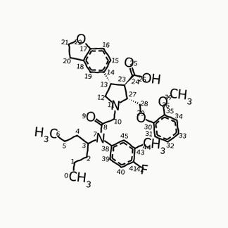 CCCC(CCC)N(C(=O)CN1C[C@H](c2ccc3c(c2)CCO3)[C@@H](C(=O)O)[C@@H]1COc1ccccc1OC)c1ccc(F)c(C)c1